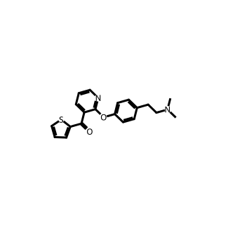 CN(C)CCc1ccc(Oc2ncccc2C(=O)c2cccs2)cc1